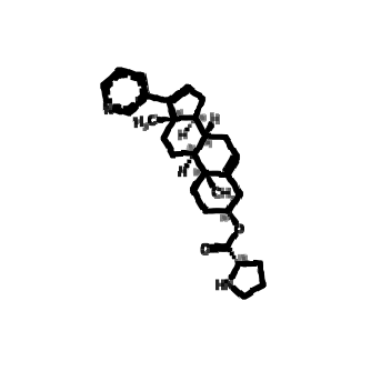 C[C@]12CC[C@H](OC(=O)[C@@H]3CCCN3)CC1=CC[C@@H]1[C@@H]2CC[C@]2(C)C(c3cccnc3)=CC[C@@H]12